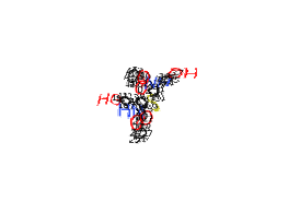 O=C(Nc1cc(Sc2ccc(-c3ccc(O)cc3)c(NC(=O)OC3CCCCC3)c2)ccc1-c1ccc(O)cc1)OC1CCCCC1